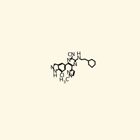 Cn1ccc(-c2nc(NCCC3CCCCC3)c(C#N)nc2-c2cc(Cl)c3[nH]ncc3c2)n1